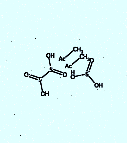 CC(C)=O.CC(C)=O.O=S(O)O.O=S(O)S(=O)O